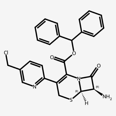 N[C@@H]1C(=O)N2C(C(=O)OC(c3ccccc3)c3ccccc3)=C(c3ccc(CCl)cn3)CS[C@H]12